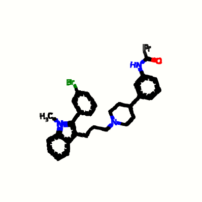 CC(C)C(=O)Nc1cccc(C2CCN(CCCc3c(-c4cccc(Br)c4)n(C)c4ccccc34)CC2)c1